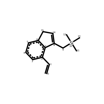 C=Cc1cccc2c1C(C[Si](C)(C)C)=CC2